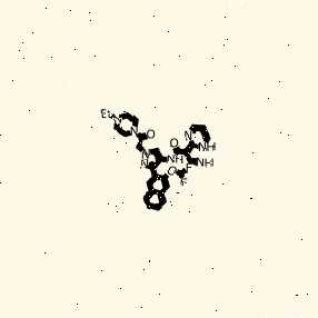 CCN1CCN(C(=O)Cn2cc(NC(=O)/C(C=N)=C3\N=CC=CN3)c(-c3cc4ccccc4cc3OC(F)F)n2)CC1